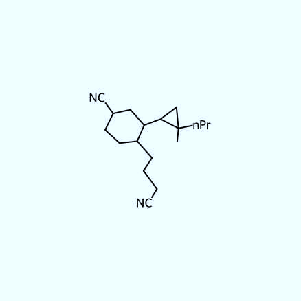 CCCC1(C)CC1C1CC(C#N)CCC1CCCC#N